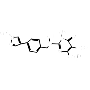 CCOC(=O)c1nc(N(C)Cc2ccc(-c3cnn(C)c3)cc2)n(C)c(=O)c1OC